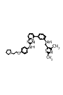 Cc1nc(C)c(CNc2cccc(-c3cccc4nc(Nc5ccc(OCCN6CCCC6)cc5)nn34)c2)s1